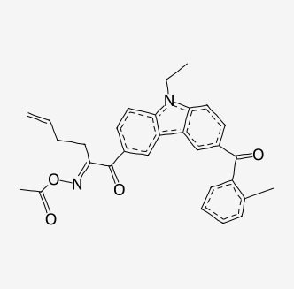 C=CCC/C(=N\OC(C)=O)C(=O)c1ccc2c(c1)c1cc(C(=O)c3ccccc3C)ccc1n2CC